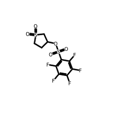 O=S1(=O)CCC(OS(=O)(=O)c2c(F)c(F)c(F)c(F)c2F)C1